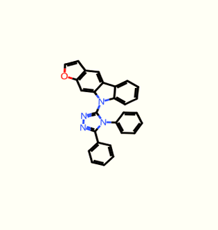 c1ccc(-c2nnc(-n3c4ccccc4c4cc5ccoc5cc43)n2-c2ccccc2)cc1